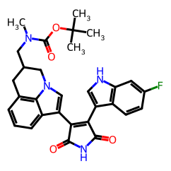 CN(CC1Cc2cccc3c(C4=C(c5c[nH]c6cc(F)ccc56)C(=O)NC4=O)cn(c23)C1)C(=O)OC(C)(C)C